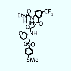 CCNC(=O)Nc1ccc(C(F)(F)F)cc1C(=O)NCC(=O)N[C@H]1COCC[C@H]1CS(=O)(=O)c1ccc(SC)cc1